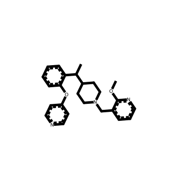 COc1ncccc1CN1CCC(C(C)c2ccccc2Oc2ccncc2)CC1